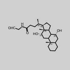 C[C@H](CCC(=O)NCC=O)[C@H]1CCC2C3C(C[C@H](O)[C@@]21C)[C@@]1(C)CCCCC1C[C@H]3O